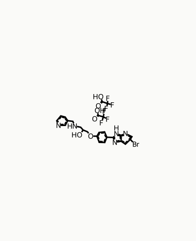 O=C(O)C(F)(F)F.O=C(O)C(F)(F)F.OC(CNCc1cccnc1)COc1ccc(-c2nc3cc(Br)cnc3[nH]2)cc1